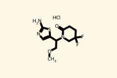 COCC(c1cnc(N)s1)N1CC(F)(F)CCC1=O.Cl